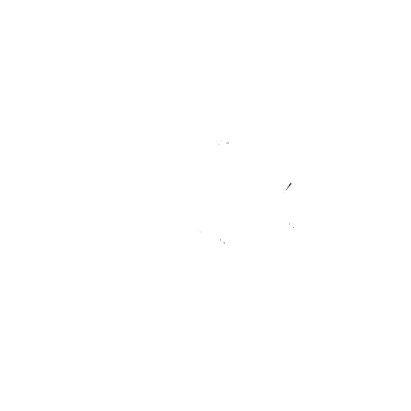 CC(C)[C@H](N)C(=O)O.CSCC[C@H](N)C(=O)O.N[C@@H](CO)C(=O)O